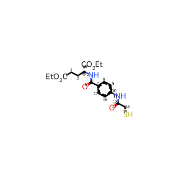 CCOC(=O)CC[C@@H](NC(=O)c1ccc(NC(=O)CS)cc1)C(=O)OCC